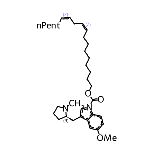 CCCCC/C=C\C/C=C\CCCCCCCCOC(=O)n1cc(C[C@H]2CCCN2C)c2cc(OC)ccc21